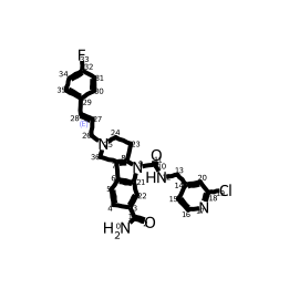 NC(=O)c1ccc2c3c(n(C(=O)NCc4ccnc(Cl)c4)c2c1)CCN(C/C=C/c1ccc(F)cc1)C3